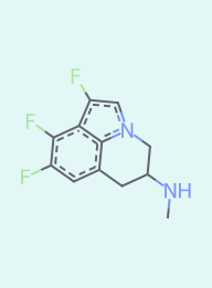 CNC1Cc2cc(F)c(F)c3c(F)cn(c23)C1